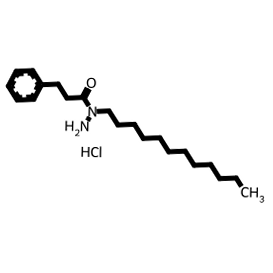 CCCCCCCCCCCCN(N)C(=O)CCc1ccccc1.Cl